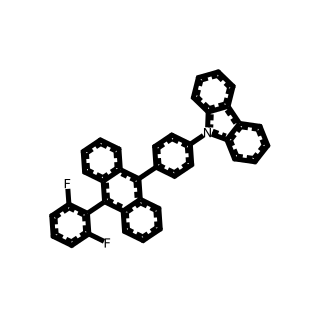 Fc1cccc(F)c1-c1c2ccccc2c(-c2ccc(-n3c4ccccc4c4ccccc43)cc2)c2ccccc12